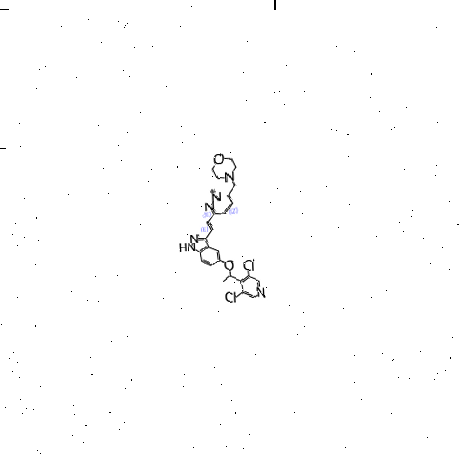 C=N/N=C(\C=C/CCN1CCOCC1)/C=C/c1n[nH]c2ccc(OC(C)c3c(Cl)cncc3Cl)cc12